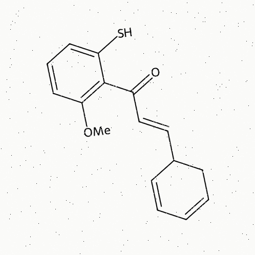 COc1cccc(S)c1C(=O)C=CC1C=CC=CC1